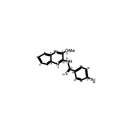 COc1nc2ccccc2nc1NC(=S)c1ccc(C(C)=O)cc1